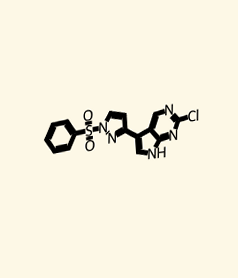 O=S(=O)(c1ccccc1)n1ccc(-c2c[nH]c3nc(Cl)ncc23)n1